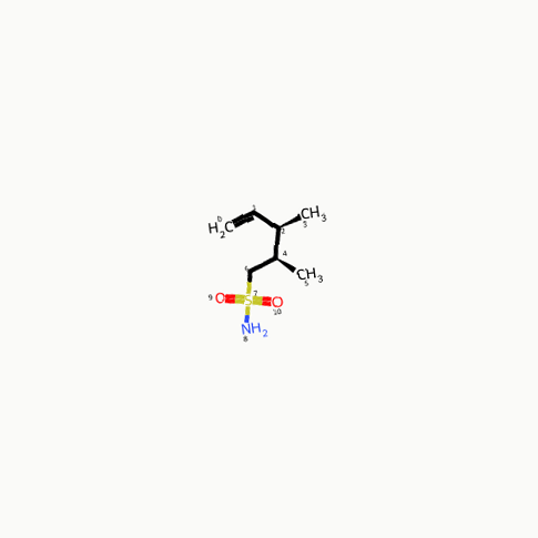 C=C[C@@H](C)[C@@H](C)CS(N)(=O)=O